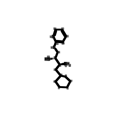 N[C@@H](CC1CCCCC1)[C@H](O)CSc1ccccn1